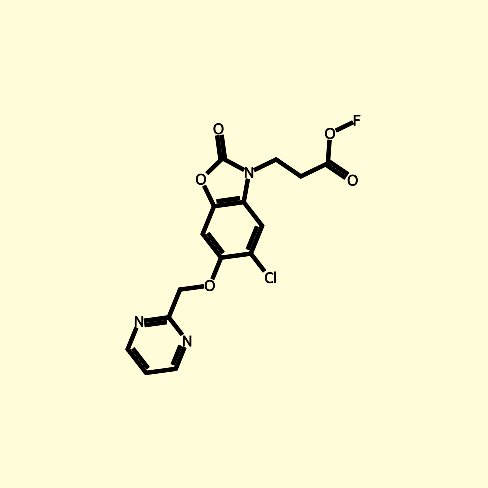 O=C(CCn1c(=O)oc2cc(OCc3ncccn3)c(Cl)cc21)OF